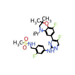 CC(C)N1CC(C)(C)Oc2c(F)cc(-c3nc(Nc4ccc(CNS(C)(=O)=O)c(F)c4)ncc3F)cc21